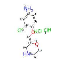 Cl.Cl.Nc1ccc(OC=C2CNCCO2)c(Cl)c1